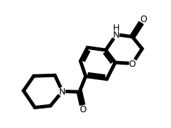 O=C1COc2cc(C(=O)N3CCCCC3)ccc2N1